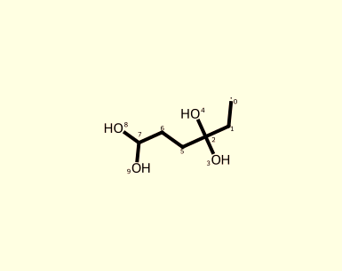 [CH2]CC(O)(O)CCC(O)O